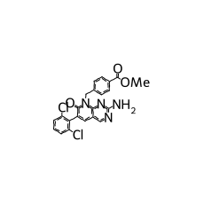 COC(=O)c1ccc(Cn2c(=O)c(-c3c(Cl)cccc3Cl)cc3cnc(N)nc32)cc1